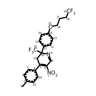 Cc1ccc(C2=C([N+](=O)[O-])C=NC(c3ccc(OCCCC(F)(F)F)cc3)(C(F)(F)F)C2)cc1